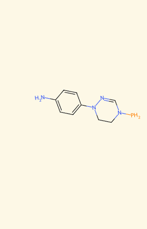 Nc1ccc(N2CCN(P)C=N2)cc1